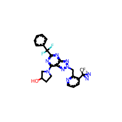 OC1CCN(c2nc(C(F)(F)c3ccccc3)nc3nn(Cc4ncccc4C4(C(F)(F)F)N=N4)nc23)C1